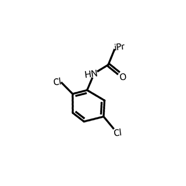 CC(C)C(=O)Nc1cc(Cl)ccc1Cl